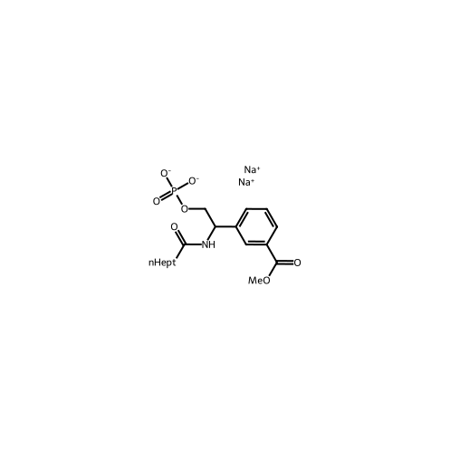 CCCCCCCC(=O)NC(COP(=O)([O-])[O-])c1cccc(C(=O)OC)c1.[Na+].[Na+]